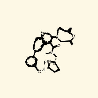 CC1CN(c2cnc3ccc(-c4cccc(O)c4)cc3c2C(=O)N(C)C[C@@H]2CCCN2)CC(C)O1